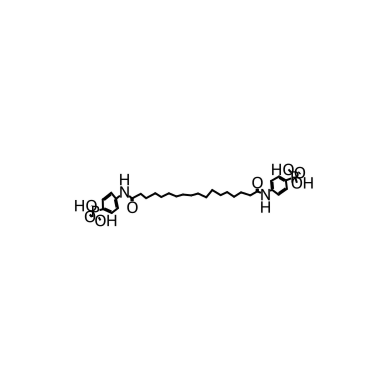 O=C(CCCCCCCCCCCCCCCCC(=O)Nc1ccc(P(=O)(O)O)cc1)Nc1ccc(P(=O)(O)O)cc1